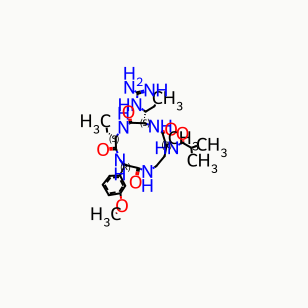 CCC(NC(=N)N)[C@@H]1NC(=O)[C@](C)(NC(=O)C(C)C)CCNC(=O)[C@@H](c2cccc(OC)c2)NC(=O)[C@H](CC)NC1=O